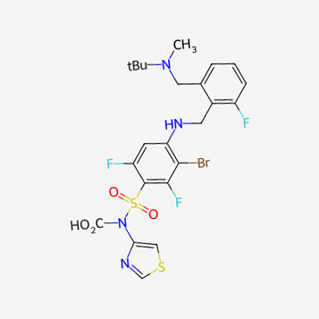 CN(Cc1cccc(F)c1CNc1cc(F)c(S(=O)(=O)N(C(=O)O)c2cscn2)c(F)c1Br)C(C)(C)C